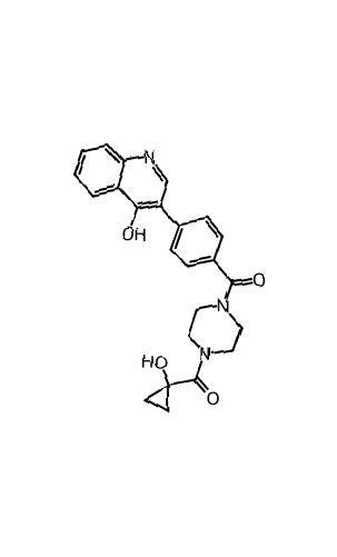 O=C(c1ccc(-c2cnc3ccccc3c2O)cc1)N1CCN(C(=O)C2(O)CC2)CC1